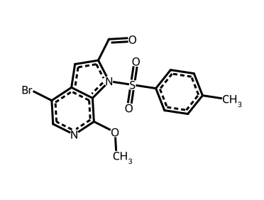 COc1ncc(Br)c2cc(C=O)n(S(=O)(=O)c3ccc(C)cc3)c12